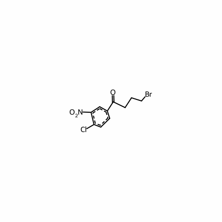 O=C(CCCBr)c1ccc(Cl)c([N+](=O)[O-])c1